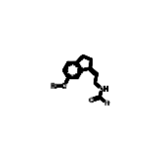 CCOc1ccc2c(c1)/C(=C\CNC(=O)CC)CC2